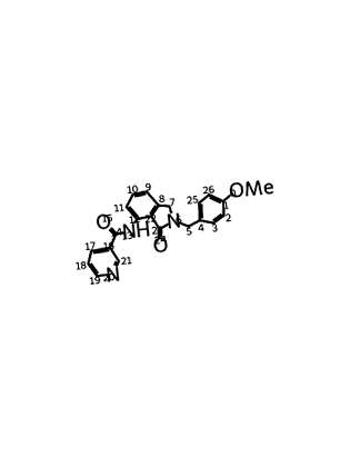 COc1ccc(CN2Cc3cccc(NC(=O)c4cccnc4)c3C2=O)cc1